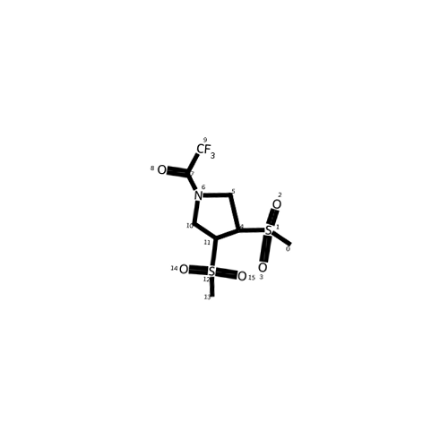 CS(=O)(=O)C1CN(C(=O)C(F)(F)F)CC1S(C)(=O)=O